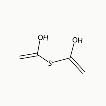 C=C(O)SC(=C)O